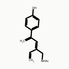 C=C/C(=C\C(=C)c1ccc(O)cc1)CNC(C)=O